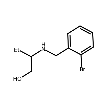 CCC(CO)NCc1ccccc1Br